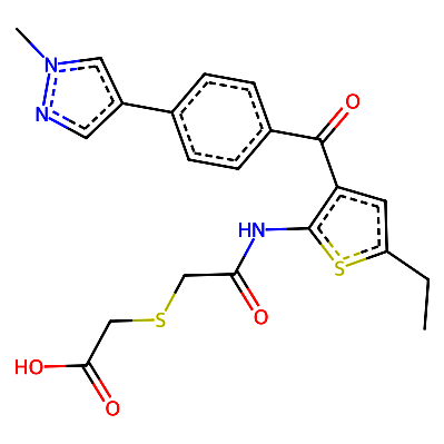 CCc1cc(C(=O)c2ccc(-c3cnn(C)c3)cc2)c(NC(=O)CSCC(=O)O)s1